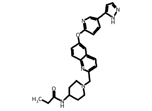 CCC(=O)NC1CCN(Cc2ccc3cc(Oc4ccc(-c5ccn[nH]5)cn4)ccc3n2)CC1